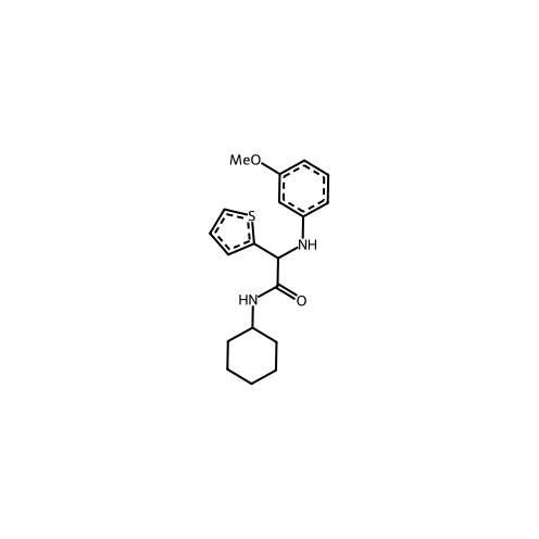 COc1cccc(NC(C(=O)NC2CCCCC2)c2cccs2)c1